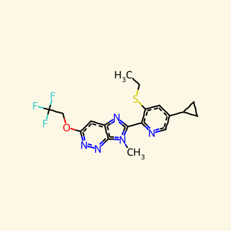 CCSc1cc(C2CC2)cnc1-c1nc2cc(OCC(F)(F)F)nnc2n1C